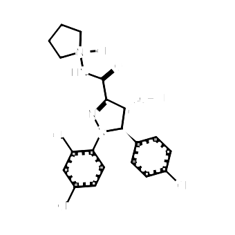 C[C@H]1C(C(=O)N[N+]2(C)CCCC2)=NN(c2ccc(Cl)cc2Cl)[C@@H]1c1ccc(Cl)cc1.[I-]